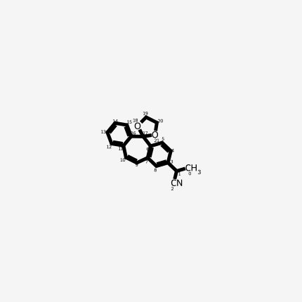 CC(C#N)c1ccc2c(c1)C=Cc1ccccc1C21OCCO1